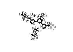 CC(C)(C)c1ccnc(-c2cc(C(C)(C)C)cc(-c3cc(C(C)(C)C)ccn3)n2)c1.O=S(=O)([O-])C(F)(F)F.O=S(=O)([O-])C(F)(F)F.O=S(=O)([O-])C(F)(F)F.[Au+3]